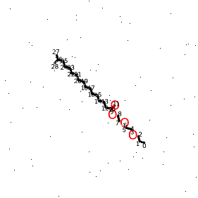 CCCOCCOCCOC(=O)CCCCCCCCCCCCCCC(C)C